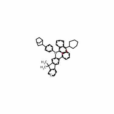 CC1(C)c2ccccc2-c2cc(-c3ccccc3)c(N(c3ccc(C4CC5CCC4C5)cc3)c3ccc(C4CCCCC4)c4ccccc34)cc21